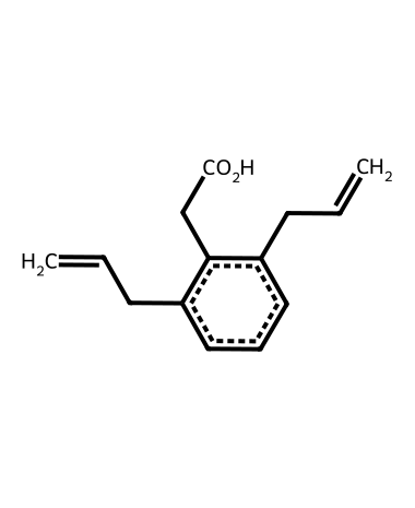 C=CCc1cccc(CC=C)c1CC(=O)O